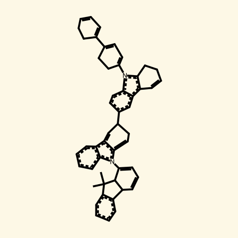 CC1(C)c2ccccc2C2C=CC=C(n3c4c(c5ccccc53)=CC(c3ccc5c(c3)c3c(n5C5=CC=C(C6=CC=CCC6)CC5)CCC=C3)CC=4)C21